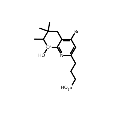 CC1[O+](O)c2nc(CCCS(=O)(=O)O)cc(Br)c2CC1(C)C